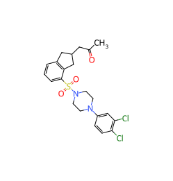 CC(=O)CC1Cc2cccc(S(=O)(=O)N3CCN(c4ccc(Cl)c(Cl)c4)CC3)c2C1